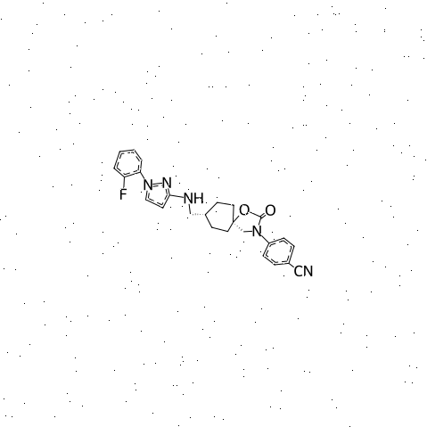 N#Cc1ccc(N2C[C@]3(CC[C@@H](CNc4ccn(-c5ccccc5F)n4)CC3)OC2=O)cc1